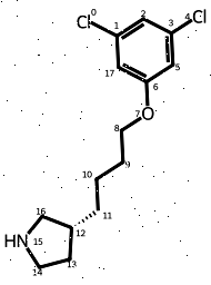 Clc1cc(Cl)cc(OCCCC[C@@H]2CCNC2)c1